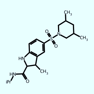 CC1CC(C)CN(S(=O)(=O)c2ccc3c(c2)C(C)C(C(=O)NC(C)C)N3)C1